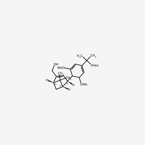 CCCCCCC(C)(C)C1=CC(OC)C([C@H]2C=C(CO)[C@H]3C[C@@H]2C3(C)C)C(OC)=C1